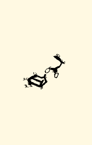 C=C(C)C(=O)OC1CC2CC(C2)C1